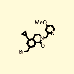 COc1ccnc(CN2CCc3c(cc(CBr)cc3C3CC3)C2=O)c1